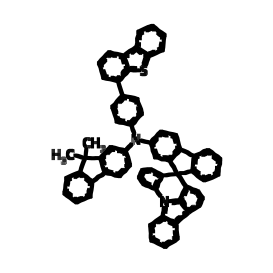 CC1(C)c2ccccc2-c2ccc(N(c3ccc(-c4cccc5c4sc4ccccc45)cc3)c3ccc4c(c3)C3(c5ccccc5-4)c4ccccc4-n4c5ccccc5c5cccc3c54)cc21